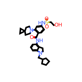 O=C(Nc1cccc2c1CCN2CC1CCCC1)c1ccc(NS(=O)(=O)CCO)cc1N1CCC2(CC1)CC2